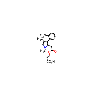 Cc1cn(C)c(CC(=O)OC=CC(=O)O)c1-c1ccccc1[N+](=O)[O-]